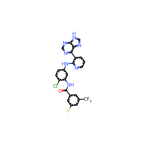 O=C(Nc1cc(Nc2ncccc2-c2ncnc3[nH]cnc23)ccc1Cl)c1cc(F)cc(C(F)(F)F)c1